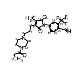 CCC(=O)N1CCN(CCCC2=C(C)C(=O)N(c3ccc(C#N)c(C(F)(F)F)c3)C2=O)CC1